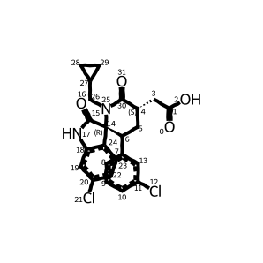 O=C(O)C[C@@H]1CC(c2cccc(Cl)c2)[C@@]2(C(=O)Nc3cc(Cl)ccc32)N(CC2CC2)C1=O